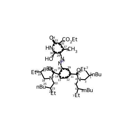 CCCCC(CC)CN(CC(CC)CCCC)C(=O)c1ccc(C(=O)N(CC(CC)CCCC)CC(CC)CCCC)c(/N=N/c2c(O)[nH]c(=O)c(C(=O)OCC)c2C)c1